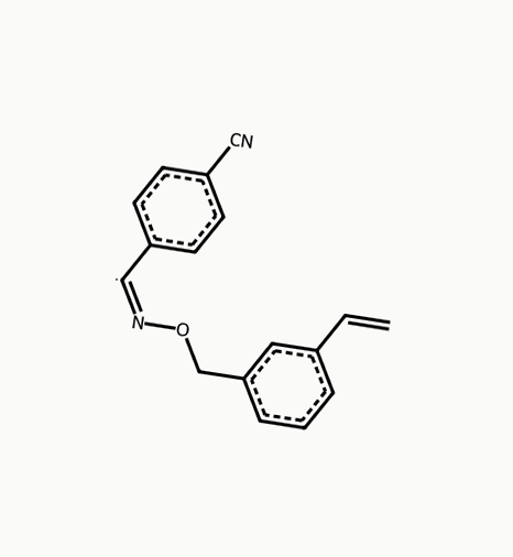 C=Cc1cccc(CO/N=[C]\c2ccc(C#N)cc2)c1